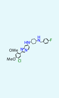 COc1cc(OC)c(-c2cn3ccc(NC4CCC(NCc5ccc(F)cc5)CC4)cc3n2)cc1Cl